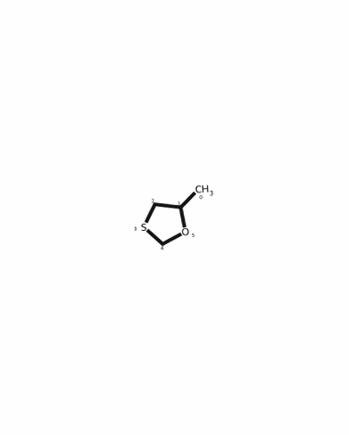 CC1CSCO1